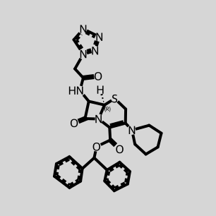 O=C(Cn1cnnn1)NC1C(=O)N2C(C(=O)OC(c3ccccc3)c3ccccc3)=C(N3CCCCC3)CS[C@H]12